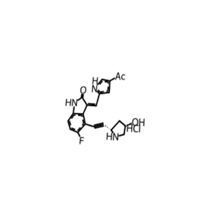 CC(=O)c1c[nH]c(C=C2C(=O)Nc3ccc(F)c(C#C[C@@H]4C[C@@H](O)CN4)c32)c1.Cl